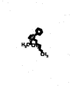 CCCCCCC1N(c2ccccc2)C=CN1C(C)C